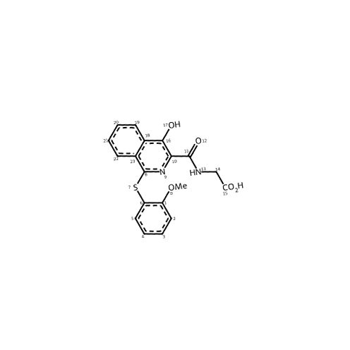 COc1ccccc1Sc1nc(C(=O)NCC(=O)O)c(O)c2ccccc12